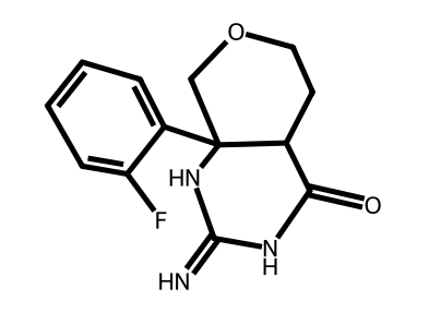 N=C1NC(=O)C2CCOCC2(c2ccccc2F)N1